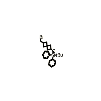 CC(C)(C)[Si](OC1CC2(CC(CBr)C2)C1)(c1ccccc1)c1ccccc1